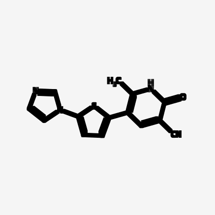 Cc1[nH]c(=O)c(C#N)cc1-c1ccc(-n2ccnc2)s1